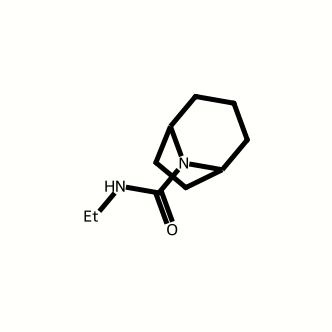 CCNC(=O)N1C2CCCC1CC2